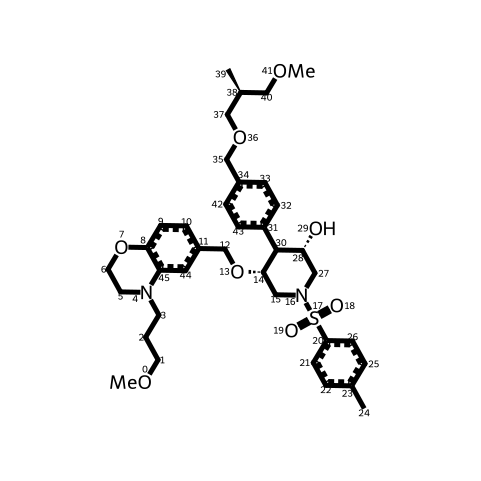 COCCCN1CCOc2ccc(CO[C@H]3CN(S(=O)(=O)c4ccc(C)cc4)C[C@@H](O)C3c3ccc(COC[C@@H](C)COC)cc3)cc21